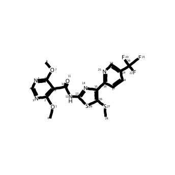 COc1ncnc(OC)c1C(=O)Nc1nc(-c2ccc(C(F)(F)F)cn2)c(SC)s1